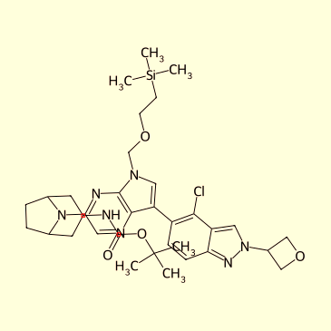 CC(C)(C)OC(=O)NC1CC2CCC(C1)N2c1cnc2c(-c3ccc4nn(C5COC5)cc4c3Cl)cn(COCC[Si](C)(C)C)c2n1